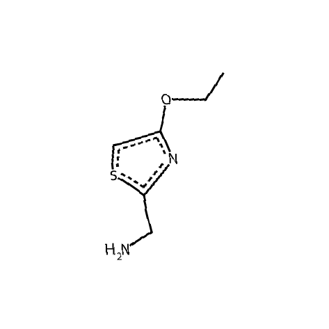 CCOc1csc(CN)n1